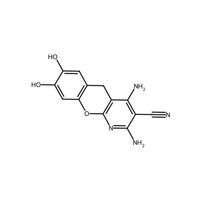 N#Cc1c(N)nc2c(c1N)Cc1cc(O)c(O)cc1O2